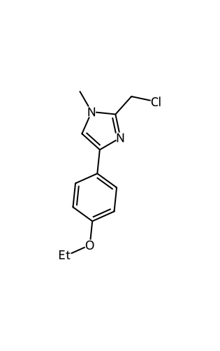 CCOc1ccc(-c2cn(C)c(CCl)n2)cc1